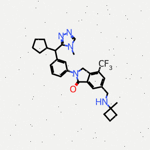 Cn1cnnc1C(c1cccc(N2Cc3c(cc(CNC4(C)CCC4)cc3C(F)(F)F)C2=O)c1)C1CCCC1